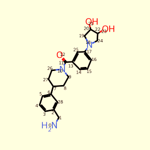 NCc1cccc(C2CCN(C(=O)c3cccc(N4CC(O)C(O)C4)c3)CC2)c1